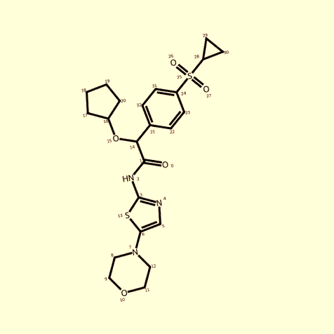 O=C(Nc1ncc(N2CCOCC2)s1)C(OC1CCCC1)c1ccc(S(=O)(=O)C2CC2)cc1